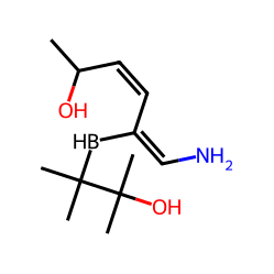 CC(O)/C=C\C(BC(C)(C)C(C)(C)O)=C/N